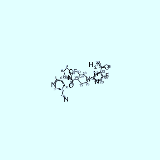 N#Cc1cncc([C@@H]2CCON2C(=O)C2CCN(c3ncc(F)c(C(N)=O)n3)CC2F)c1